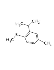 [CH2]C(C)c1cc(C)ccc1SC